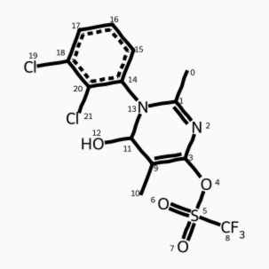 CC1=NC(OS(=O)(=O)C(F)(F)F)=C(C)C(O)N1c1cccc(Cl)c1Cl